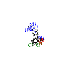 Nc1n[nH]c(N2CCC(C(N[SH](=O)=O)c3ccc(Cl)c(Cl)c3)CC2)n1